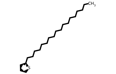 CCCCCCCCCCCCCCCCCCc1cccs1